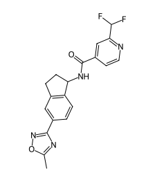 Cc1nc(-c2ccc3c(c2)CCC3NC(=O)c2ccnc(C(F)F)c2)no1